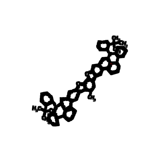 Cc1cc2c3cc4ccc(N(c5ccccc5-c5ccccc5)c5ccccc5C(C)(C)C)cc4cc3oc2c2oc3cc4cc(N(c5ccccc5-c5ccccc5)c5ccccc5C(C)(C)C)ccc4cc3c12